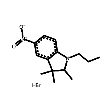 Br.CCCN1c2ccc([N+](=O)[O-])cc2C(C)(C)C1C